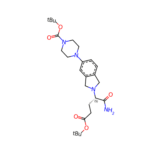 CC(C)(C)OC(=O)CC[C@@H](C(N)=O)N1Cc2ccc(N3CCN(C(=O)OC(C)(C)C)CC3)cc2C1